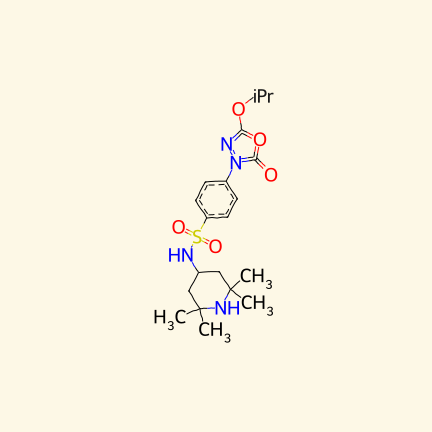 CC(C)Oc1nn(-c2ccc(S(=O)(=O)NC3CC(C)(C)NC(C)(C)C3)cc2)c(=O)o1